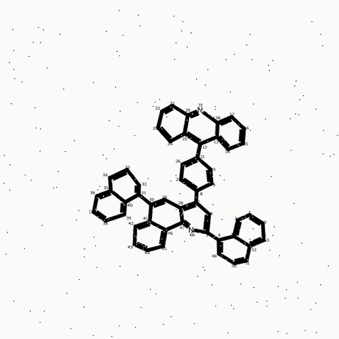 c1ccc2c(-c3cc(-c4ccc(-c5c6ccccc6nc6ccccc56)cc4)c4cc(-c5cccc6ccccc56)c5ccccc5c4n3)cccc2c1